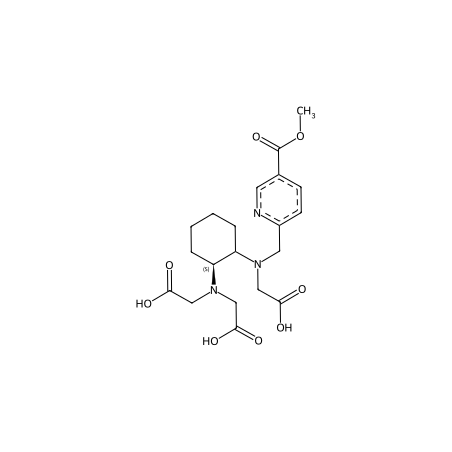 COC(=O)c1ccc(CN(CC(=O)O)C2CCCC[C@@H]2N(CC(=O)O)CC(=O)O)nc1